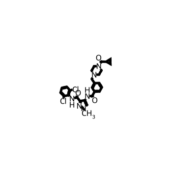 Cn1cc(NC(=O)c2cccc(CN3CCN(C(=O)C4CC4)CC3)c2)c(C(=O)Nc2c(Cl)cccc2Cl)n1